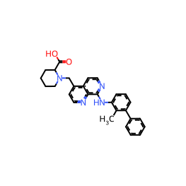 Cc1c(Nc2nccc3c(CN4CCCCC4C(=O)O)ccnc23)cccc1-c1ccccc1